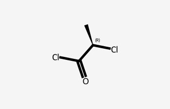 C[C@@H](Cl)C(=O)Cl